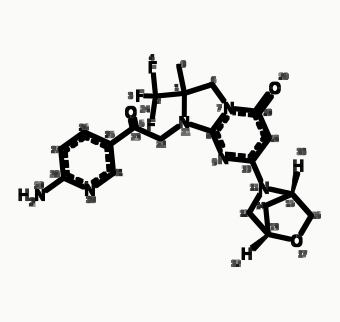 CC1(C(F)(F)F)Cn2c(nc(N3C[C@@H]4C[C@H]3CO4)cc2=O)N1CC(=O)c1ccc(N)nc1